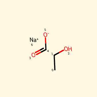 CCO.O=C[O-].[Na+]